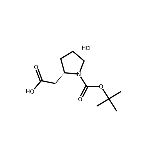 CC(C)(C)OC(=O)N1CCC[C@H]1CC(=O)O.Cl